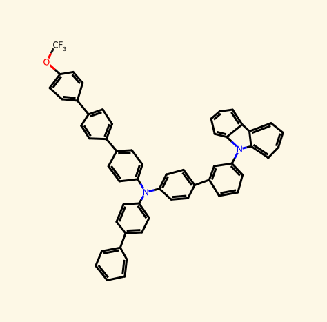 FC(F)(F)Oc1ccc(-c2ccc(-c3ccc(N(c4ccc(-c5ccccc5)cc4)c4ccc(-c5cccc(-n6c7ccccc7c7ccccc76)c5)cc4)cc3)cc2)cc1